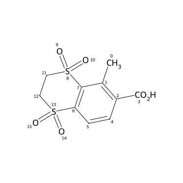 Cc1c(C(=O)O)ccc2c1S(=O)(=O)CCS2(=O)=O